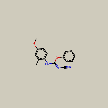 COc1ccc(N/C(=N/C#N)Oc2ccccc2)c(C)c1